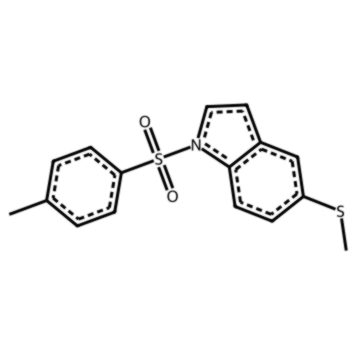 CSc1ccc2c(ccn2S(=O)(=O)c2ccc(C)cc2)c1